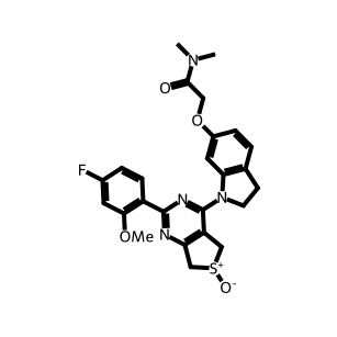 COc1cc(F)ccc1-c1nc2c(c(N3CCc4ccc(OCC(=O)N(C)C)cc43)n1)C[S+]([O-])C2